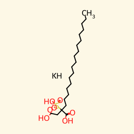 CCCCCCCCCCCCCCCCCCC(CC(=O)O)(C(=O)O)S(=O)(=O)O.[KH]